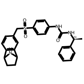 C[C@H](NC(=O)Nc1ccc(S(=O)(=O)Cc2ccc3c(c2)C2CCC3N2)cc1)c1ccccc1